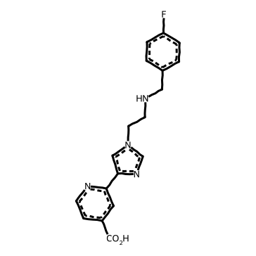 O=C(O)c1ccnc(-c2cn(CCNCc3ccc(F)cc3)cn2)c1